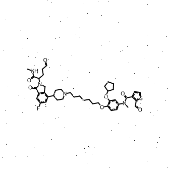 CNC(=O)C(CCC=O)N1Cc2c(cc(F)cc2C2CCN(CCCCCCCOc3ccc(N(C)C(=O)c4ccsc4C=O)cc3OC3CCCC3)CC2)C1=O